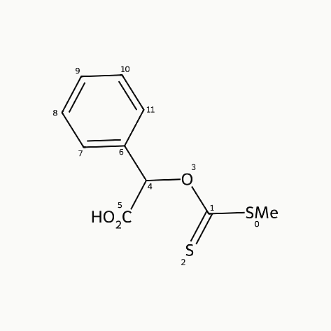 CSC(=S)OC(C(=O)O)c1ccccc1